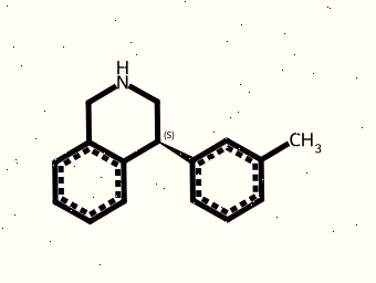 Cc1cccc([C@@H]2CNCc3ccccc32)c1